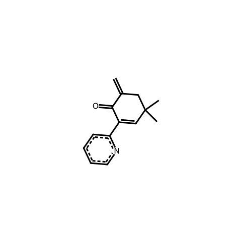 C=C1CC(C)(C)C=C(c2ccccn2)C1=O